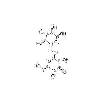 OC[C@H]1O[C@@H](OC[C@H]2O[C@H](O)[C@H](O)[C@@H](O)[C@@H]2O)[C@H](O)[C@@H](O)[C@@H]1O